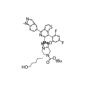 COc1cc(F)cc(F)c1-c1c(-c2cc3n(n2)C[C@@H](CCCCCO)N(C(=O)OC(C)(C)C)C3)nc(-c2ccc3c(cnn3C)c2)c2ccsc12